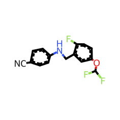 N#Cc1ccc(NCc2cc(OC(F)F)ccc2F)cc1